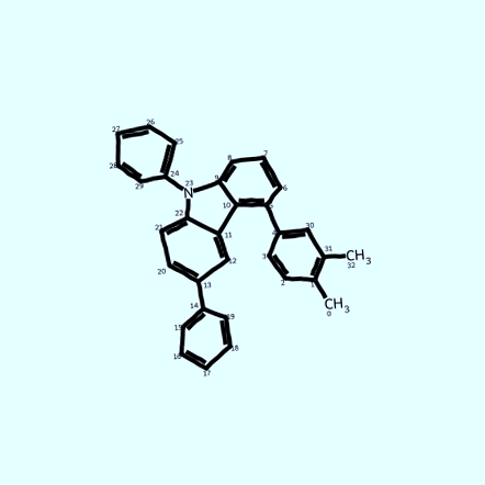 Cc1ccc(-c2cccc3c2c2cc(-c4ccccc4)ccc2n3-c2ccccc2)cc1C